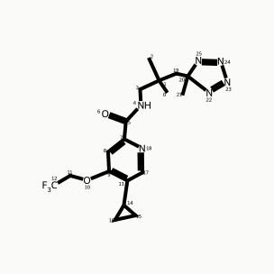 CC(C)(CNC(=O)c1cc(OCC(F)(F)F)c(C2CC2)cn1)CC1(C)N=NN=N1